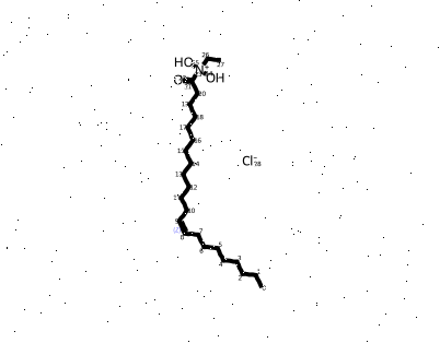 CCCCCCCC/C=C\CCCCCCCCCCCC(=O)[N+](O)(O)CC.[Cl-]